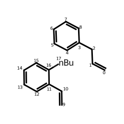 C=CCc1ccccc1.C=Cc1ccccc1CCCC